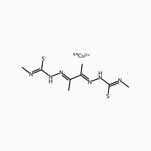 CN=C([S-])N/N=C(C)/C(C)=N/NC([S-])=NC.[64Cu+2]